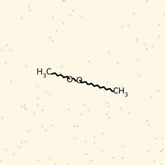 CCCCCCCCCCCCOCCOCCCCCCC